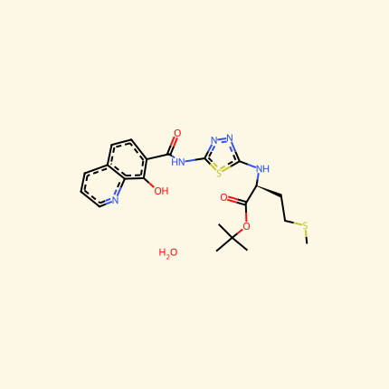 CSCC[C@H](Nc1nnc(NC(=O)c2ccc3cccnc3c2O)s1)C(=O)OC(C)(C)C.O